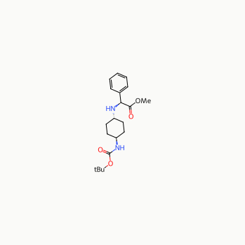 COC(=O)[C@@H](N[C@H]1CC[C@H](NC(=O)OC(C)(C)C)CC1)c1ccccc1